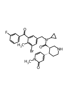 Cc1c(Br)cc(CN(C(=O)[C@H]2CNCC[C@@H]2c2ccn(C)c(=O)c2)C2CC2)cc1C(=O)c1cccc(F)c1